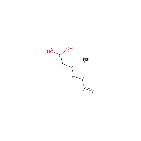 C=CCCCCC(O)O.[NaH]